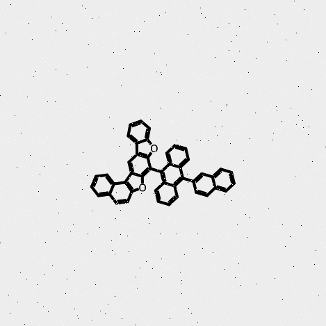 c1ccc2cc(-c3c4ccccc4c(-c4c5oc6ccccc6c5cc5c4oc4ccc6ccccc6c45)c4ccccc34)ccc2c1